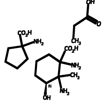 CC1(N)[C@@H](O)CCCC1(N)C(=O)O.CCC(=O)O.NC1(C(=O)O)CCCC1